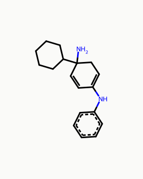 NC1(C2CCCCC2)C=CC(Nc2ccccc2)=CC1